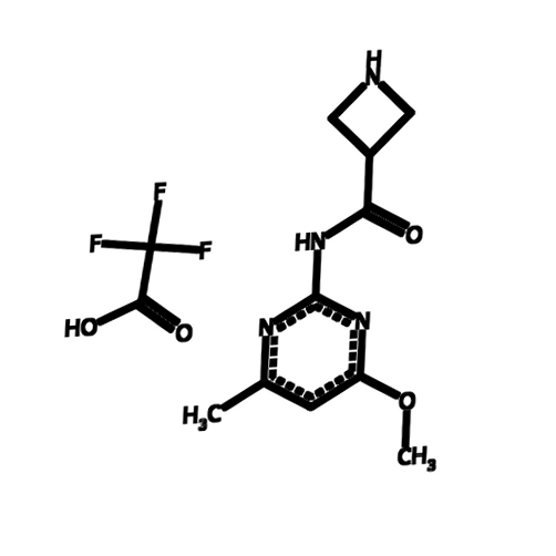 COc1cc(C)nc(NC(=O)C2CNC2)n1.O=C(O)C(F)(F)F